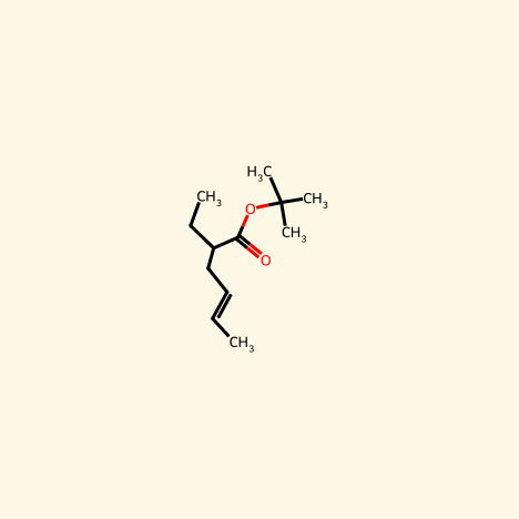 CC=CCC(CC)C(=O)OC(C)(C)C